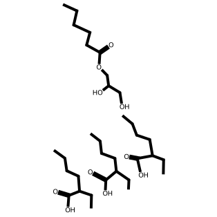 CCCCC(CC)C(=O)O.CCCCC(CC)C(=O)O.CCCCC(CC)C(=O)O.CCCCCC(=O)OCC(O)CO